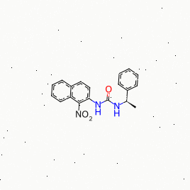 C[C@@H](NC(=O)Nc1ccc2ccccc2c1[N+](=O)[O-])c1ccccc1